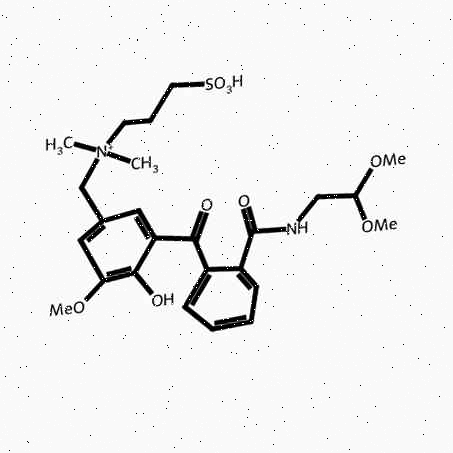 COc1cc(C[N+](C)(C)CCCS(=O)(=O)O)cc(C(=O)c2ccccc2C(=O)NCC(OC)OC)c1O